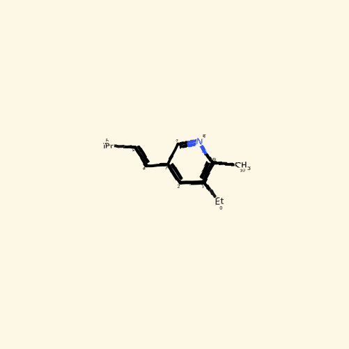 CCc1cc(/C=C/C(C)C)cnc1C